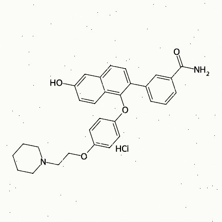 Cl.NC(=O)c1cccc(-c2ccc3cc(O)ccc3c2Oc2ccc(OCCN3CCCCC3)cc2)c1